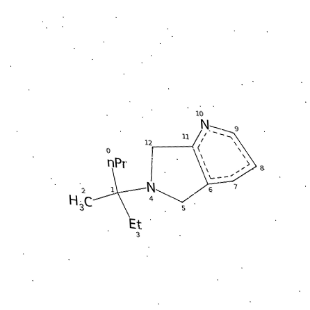 CCCC(C)(CC)N1Cc2cccnc2C1